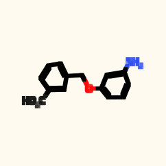 Nc1cccc(OCc2cccc(C(=O)O)c2)c1